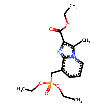 CCOC(=O)c1nc2c(CP(=O)(OCC)OCC)cccn2c1C